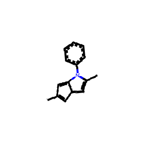 CC1=CC2C=C(C)N(c3ccccc3)C2=C1